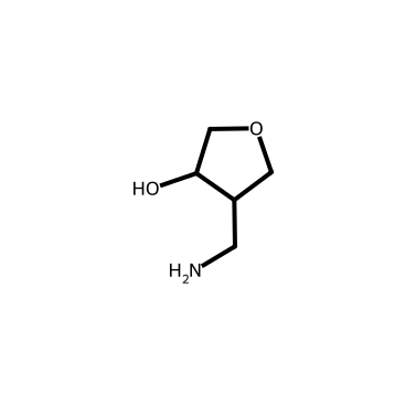 NCC1COCC1O